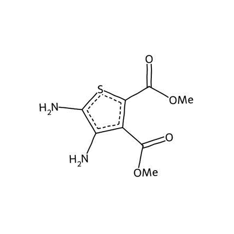 COC(=O)c1sc(N)c(N)c1C(=O)OC